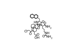 NC(=O)NCCCC(NC(=O)C(Cc1ccc2ccccc2c1)NC(=O)[C@@H]1CCCCN1C(=O)CC(CC(=O)O)NC(=O)CCl)C(N)=O